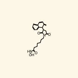 C=C1C=Cc2ccccc2C1C1CC(=O)N(CCCCCCC(=O)NO)C1=O